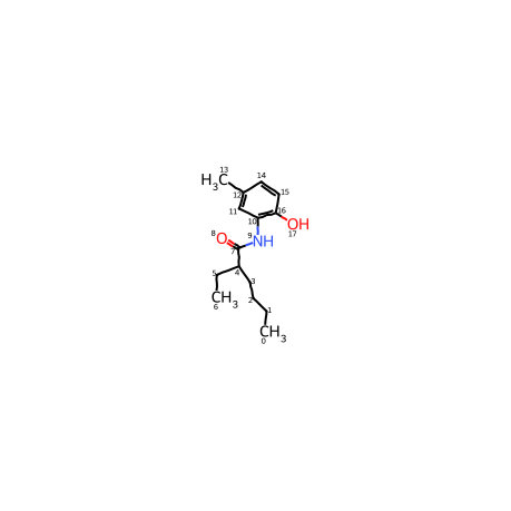 CCCCC(CC)C(=O)Nc1cc(C)ccc1O